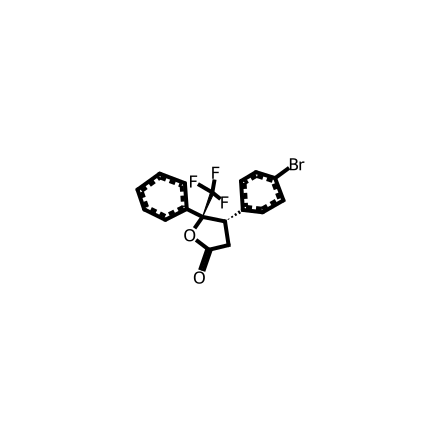 O=C1C[C@@H](c2ccc(Br)cc2)[C@](c2ccccc2)(C(F)(F)F)O1